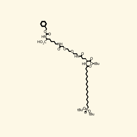 CC(C)(C)OC(=O)[C@H](CCC(=O)NCCOCCOCC(=O)NCCCC[C@H](NC(=O)OCc1ccccc1)C(=O)O)NC(=O)CCCCCCCCCCCCCCCCP(=O)(OC(C)(C)C)OC(C)(C)C